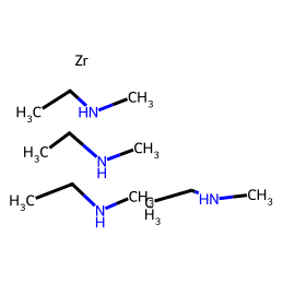 CCNC.CCNC.CCNC.CCNC.[Zr]